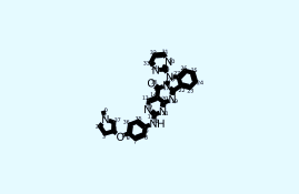 CN1CCC(Oc2ccc(Nc3ncc4c(=O)n5c(nc4n3)c3ccccc3n5-c3ncccn3)cc2)C1